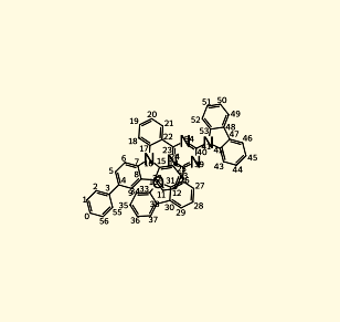 c1ccc(-c2ccc3c(c2)c2ccccc2n3-c2ccccc2-c2nc(-c3cccc4c3oc3ccccc34)nc(-n3c4ccccc4c4ccccc43)n2)cc1